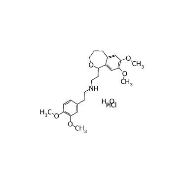 COc1ccc(CCNCCC2OCCCc3cc(OC)c(OC)cc32)cc1OC.Cl.O